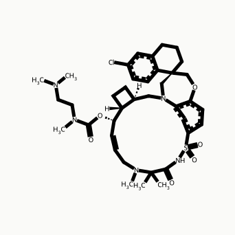 CN(C)CCN(C)C(=O)O[C@H]1C=CCN(C)C(C)(C)C(=O)NS(=O)(=O)c2ccc3c(c2)N(C[C@@H]2CC[C@H]21)C[C@@]1(CCCc2cc(Cl)ccc21)CO3